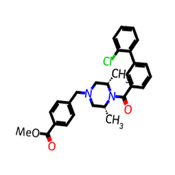 COC(=O)c1ccc(CN2C[C@@H](C)N(C(=O)c3cccc(-c4ccccc4Cl)c3)[C@@H](C)C2)cc1